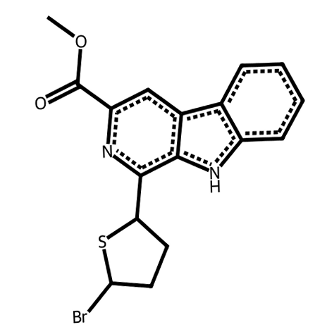 COC(=O)c1cc2c([nH]c3ccccc32)c(C2CCC(Br)S2)n1